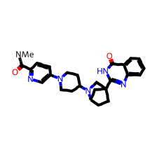 CNC(=O)c1ccc(N2CCC(N3CC4(c5nc6ccccc6c(=O)[nH]5)CCC3C4)CC2)cn1